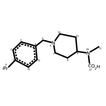 CC(C)c1ccc(CN2CCC(N(C)C(=O)O)CC2)cc1